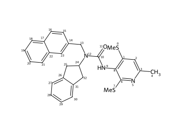 CSc1cc(C)nc(SC)c1NC(=O)N(Cc1ccc2ccccc2c1)C1Cc2ccccc2C1